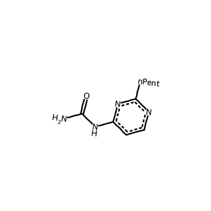 CCCCCc1nccc(NC(N)=O)n1